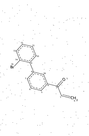 C=CC(=O)c1cccc(-c2ccccc2Br)c1